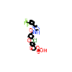 O=C(O)OC1CCOc2cc(Oc3ccc(C(=O)Nc4cncc(-c5cccc(C(F)(F)F)c5)n4)cc3)c(Cl)cc21